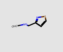 O=[C]NCc1ccsn1